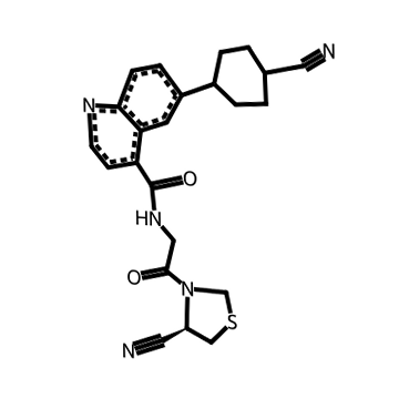 N#CC1CCC(c2ccc3nccc(C(=O)NCC(=O)N4CSC[C@H]4C#N)c3c2)CC1